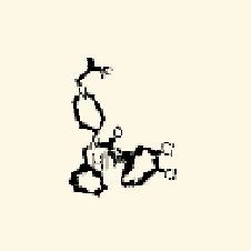 CC(F)CN1CCC(N(Cc2ccccc2)C(=O)Nc2ccc(Cl)c(Cl)c2)CC1